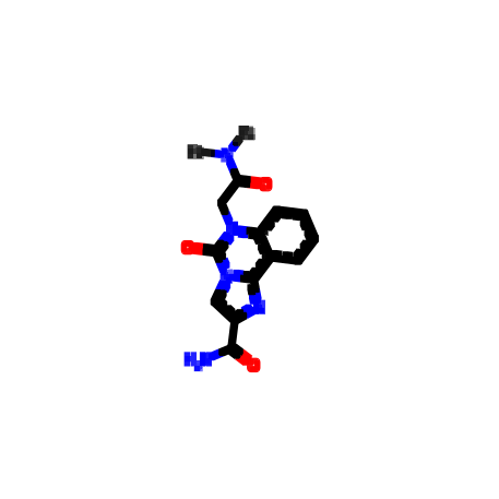 CCN(CC)C(=O)Cn1c(=O)n2cc(C(N)=O)nc2c2ccccc21